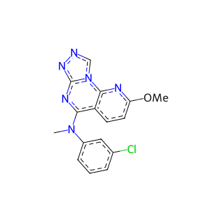 COc1ccc2c(N(C)c3cccc(Cl)c3)nc3nncn3c2n1